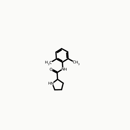 Cc1cccc(C)c1NC(=O)C1CCCN1